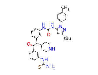 Cc1ccc(-n2nc(C(C)(C)C)cc2NC(=O)Nc2cccc(C(C(=O)c3cccc(NC(N)=S)c3)C3CCNCC3)c2)cc1